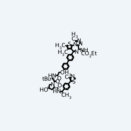 CCOC(=O)NC1N=C(c2ccc(-c3ccc(OCC(=O)N[C@H](C(=O)N4C[C@H](O)C[C@H]4C(=O)N[C@@H](C)c4ccc(-c5scnc5C)cc4)C(C)(C)C)cc3)cc2)c2c(sc(C)c2C)-n2c(C)nnc21